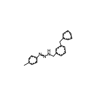 Cc1ccc(N=NNCc2cccc(Cc3ccccc3)c2)cc1